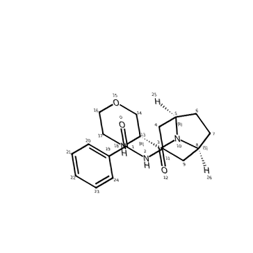 O=C(NC1C[C@H]2CC[C@@H](C1)N2C(=O)[C@H]1COCCN1)c1ccccc1